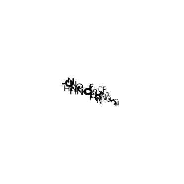 Cc1cnnc(NC(=O)Nc2cc(F)c(Oc3ccnc4c3c(C(F)(F)F)cn4COCC[Si](C)(C)C)c(F)c2)c1